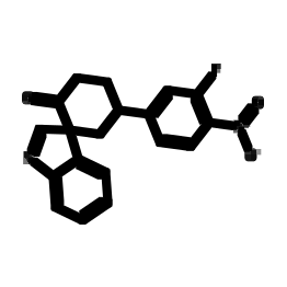 O=C1CCC(c2ccc([N+](=O)[O-])c(F)c2)CC12C=Nc1ccccc12